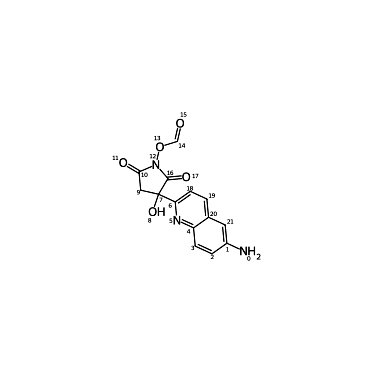 Nc1ccc2nc(C3(O)CC(=O)N(OC=O)C3=O)ccc2c1